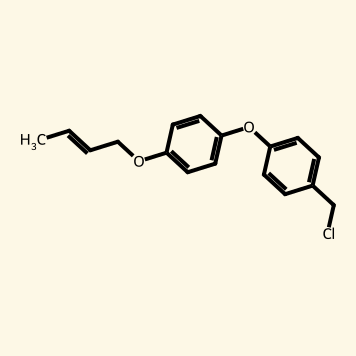 CC=CCOc1ccc(Oc2ccc(CCl)cc2)cc1